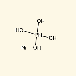 O[PH](O)(O)O.[Ni]